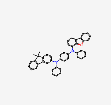 CC1(C)c2ccccc2-c2cc(N(c3ccccc3)c3ccc(N(c4ccccc4)c4cccc5c4oc4ccccc45)cc3)ccc21